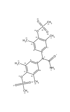 Cc1cc(N(C(N)=O)c2cc(C)c(OS(C)(=O)=O)c(C)c2)cc(C)c1OS(C)(=O)=O